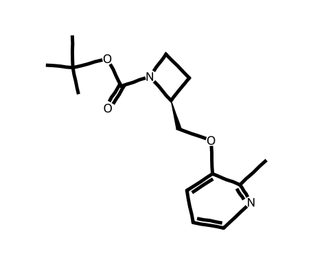 Cc1ncccc1OC[C@@H]1CCN1C(=O)OC(C)(C)C